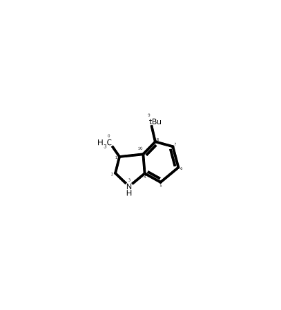 CC1CNc2cccc(C(C)(C)C)c21